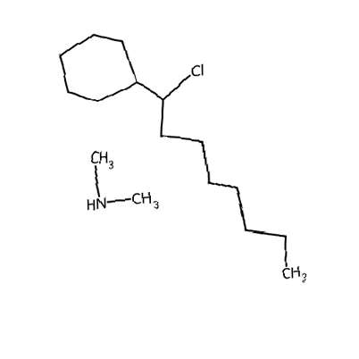 CCCCCCCC(Cl)C1CCCCC1.CNC